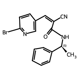 C[C@H](NC(=O)C(C#N)=Cc1ccc(Br)nc1)c1ccccc1